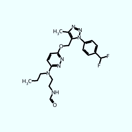 CCCN(CCNC=O)c1ccc(OCc2c(C)nnn2-c2ccc(C(F)F)cc2)nn1